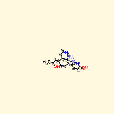 CC(O)/C=C(\C=C/C(C)c1ccc(O)nn1)C1=CNN=CC1